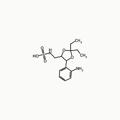 CCC1(CC)OC(CNS(=O)(=O)O)C(c2ccccc2N)O1